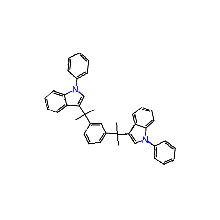 CC(C)(c1cccc(C(C)(C)c2cn(-c3ccccc3)c3ccccc23)c1)c1cn(-c2ccccc2)c2ccccc12